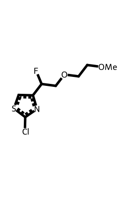 COCCOCC(F)c1csc(Cl)n1